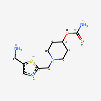 NCc1cnc(CN2CCC(OC(N)=O)CC2)s1